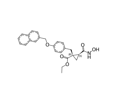 CCOC(=O)[C@@]1(Cc2ccc(OCc3ccc4ccccc4c3)cc2)C[C@@H]1C(=O)NO